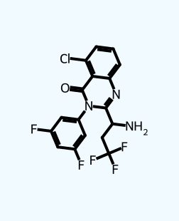 NC(CC(F)(F)F)c1nc2cccc(Cl)c2c(=O)n1-c1cc(F)cc(F)c1